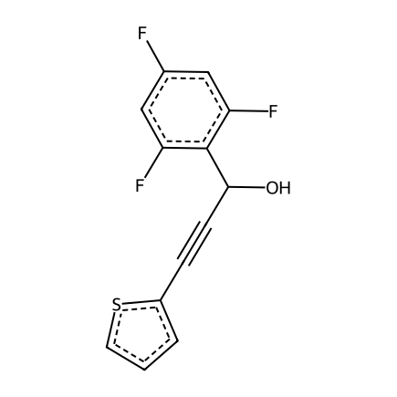 OC(C#Cc1cccs1)c1c(F)cc(F)cc1F